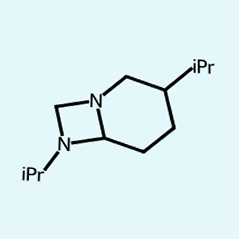 CC(C)C1CCC2N(C1)CN2C(C)C